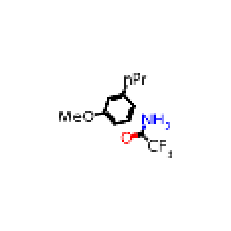 CCCc1cccc(OC)c1.NC(=O)C(F)(F)F